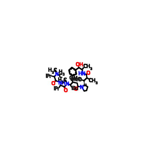 CCC(C)C(C(CC(=O)N1CCC[C@H]1C(OC)C(C)C(=O)NC(C)C(O)c1ccccc1)OC)N(C)C(=O)C(NC(=O)C(C(C)C)N(C)C)C(C)C